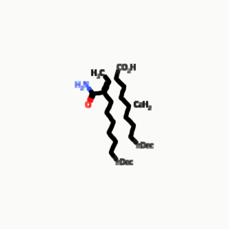 CC=C(CCCCCCCCCCCCCCCC)C(N)=O.CCCCCCCCCCCCCCCCCC(=O)O.[CaH2]